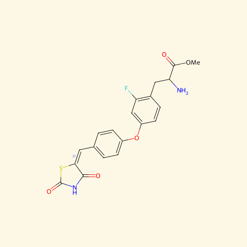 COC(=O)C(N)Cc1ccc(Oc2ccc(/C=C3/SC(=O)NC3=O)cc2)cc1F